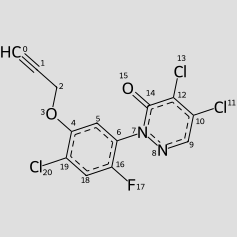 C#CCOc1cc(-n2ncc(Cl)c(Cl)c2=O)c(F)cc1Cl